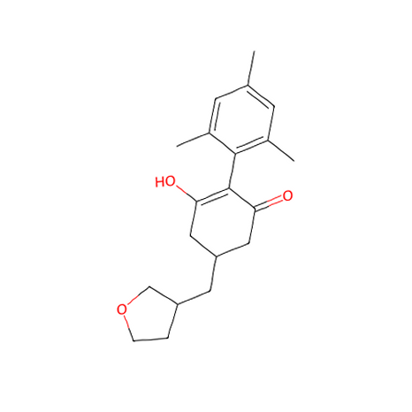 Cc1cc(C)c(C2=C(O)CC(CC3CCOC3)CC2=O)c(C)c1